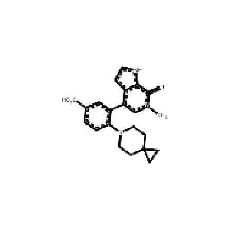 Cn1cc(-c2cc(C(=O)O)ccc2N2CCC3(CC2)CC3)c2cc[nH]c2c1=O